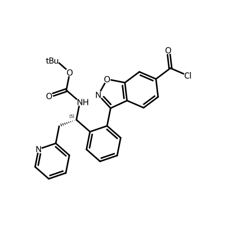 CC(C)(C)OC(=O)N[C@@H](Cc1ccccn1)c1ccccc1-c1noc2cc(C(=O)Cl)ccc12